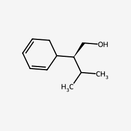 CC(C)[C@H](CO)C1C=CC=CC1